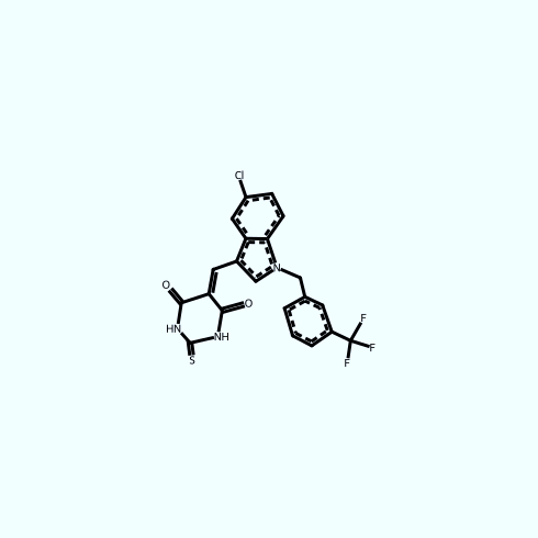 O=C1NC(=S)NC(=O)C1=Cc1cn(Cc2cccc(C(F)(F)F)c2)c2ccc(Cl)cc12